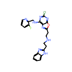 Fc1cccnc1CNc1nc(Cl)nc2oc(CCNCCc3nc4ccccc4[nH]3)nc12